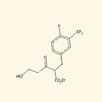 CCOC(=O)C(Cc1ccc(F)c(C(F)(F)F)c1)C(=O)CCO